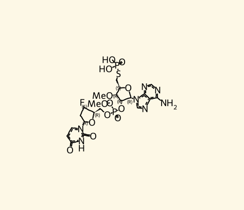 COOP(=O)(OC[C@H]1O[C@@H](n2ccc(=O)[nH]c2=O)C[C@@H]1F)O[C@@H]1[C@H](OC)[C@@H](CSP(=O)(O)O)O[C@H]1n1cnc2c(N)ncnc21